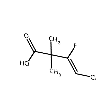 CC(C)(C(=O)O)C(F)=CCl